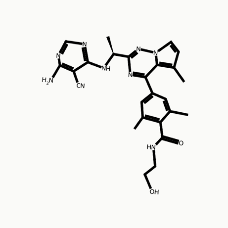 Cc1cc(-c2nc([C@H](C)Nc3ncnc(N)c3C#N)nn3ccc(C)c23)cc(C)c1C(=O)NCCO